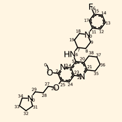 COc1nc2c(NC3CCN(c4cccc(F)c4)CC3)c3c(nc2cc1OCCCN1CCCC1)CCCC3